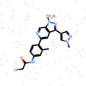 Cc1cc(NC(=O)CCl)ccc1-c1cc2c(-c3cnn(C)c3)nn(C(=O)O)c2cn1